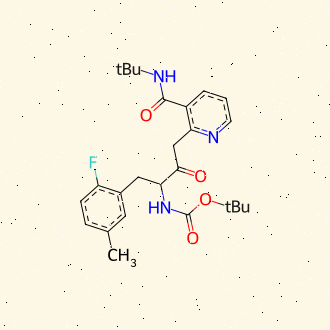 Cc1ccc(F)c(CC(NC(=O)OC(C)(C)C)C(=O)Cc2ncccc2C(=O)NC(C)(C)C)c1